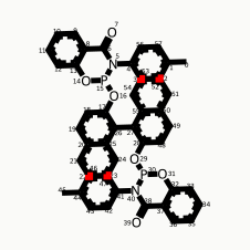 Cc1ccc(N2C(=O)c3ccccc3OP2Oc2ccc3ccccc3c2-c2c(OP3Oc4ccccc4C(=O)N3c3ccc(C)cc3)ccc3ccccc23)cc1